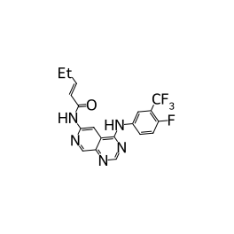 CC/C=C/C(=O)Nc1cc2c(Nc3ccc(F)c(C(F)(F)F)c3)ncnc2cn1